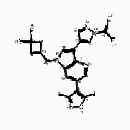 Cc1noc(C)c1-c1cnc2c(-c3cnn(C(F)F)c3)cn(CC3CC(F)(F)C3)c2c1